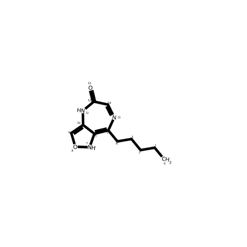 CCCCCC1=C2NOC=C2NC(=O)C=N1